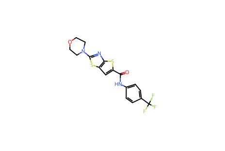 O=C(Nc1ccc(C(F)(F)F)cc1)c1cc2sc(N3CCOCC3)nc2s1